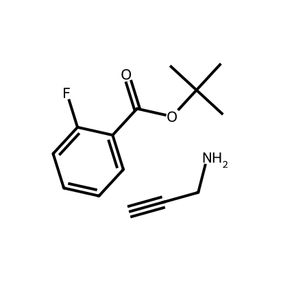 C#CCN.CC(C)(C)OC(=O)c1ccccc1F